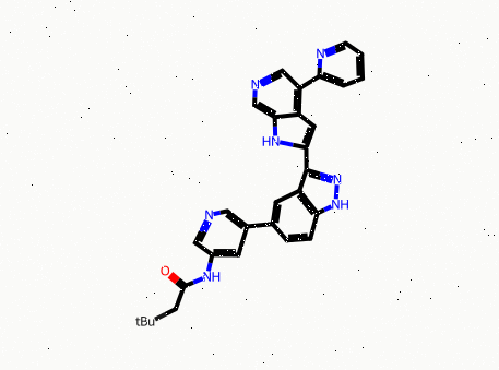 CC(C)(C)CC(=O)Nc1cncc(-c2ccc3[nH]nc(-c4cc5c(-c6ccccn6)cncc5[nH]4)c3c2)c1